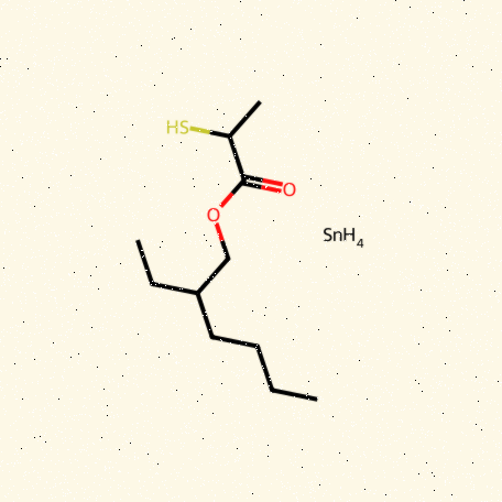 CCCCC(CC)COC(=O)C(C)S.[SnH4]